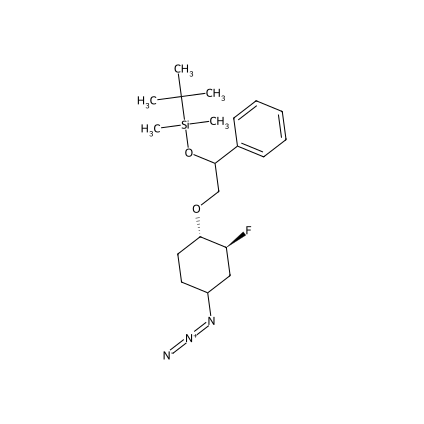 CC(C)(C)[Si](C)(C)OC(CO[C@H]1CCC(N=[N+]=[N-])C[C@@H]1F)c1ccccc1